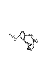 COc1ccc2[nH]c(=O)c3cncn3c2c1